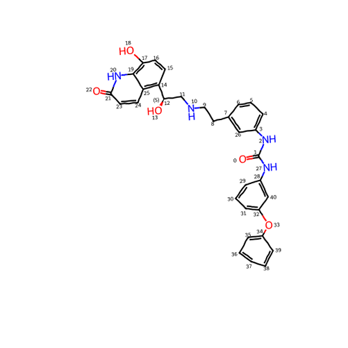 O=C(Nc1cccc(CCNC[C@@H](O)c2ccc(O)c3[nH]c(=O)ccc23)c1)Nc1cccc(Oc2ccccc2)c1